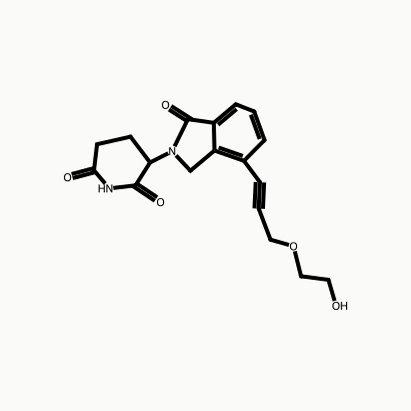 O=C1CCC(N2Cc3c(C#CCOCCO)cccc3C2=O)C(=O)N1